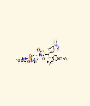 COc1ccc(C/C(=C2/SC(=O)N(C3CC[N+](C(C)(C)C)(S(=O)(=O)NC(=O)[O-])CC3)C2=O)c2ccc3[nH]ncc3c2)c(C(F)(F)F)c1